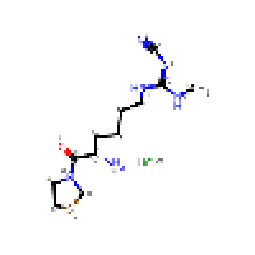 CN/C(=N/C#N)NCCCC[C@H](N)C(=O)N1CCSC1.Cl